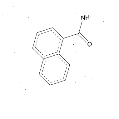 [NH]C(=O)c1cccc2ccccc12